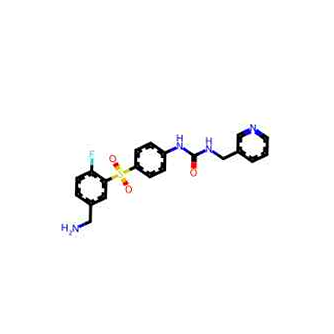 NCc1ccc(F)c(S(=O)(=O)c2ccc(NC(=O)NCc3cccnc3)cc2)c1